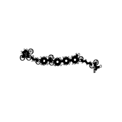 C=C(F)C(=O)OCCCCOc1ccc(-c2ccc(-c3ccc(OC(=O)c4ccc(OCCCON5C(=O)C=CC5=O)cc4)cc3)cc2)cc1C